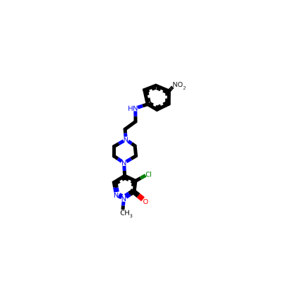 Cn1ncc(N2CCN(CCNc3ccc([N+](=O)[O-])cc3)CC2)c(Cl)c1=O